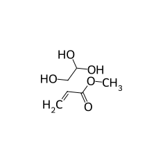 C=CC(=O)OC.OCC(O)O